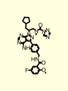 COc1ccc(F)cc1C(=O)NCc1ccc(-c2nn(C(CC3CCCC3)CN(C)C(=O)n3cncn3)c3ncnc(N)c23)cc1